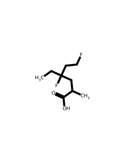 CCC(F)(CCF)CC(C)C(=O)O